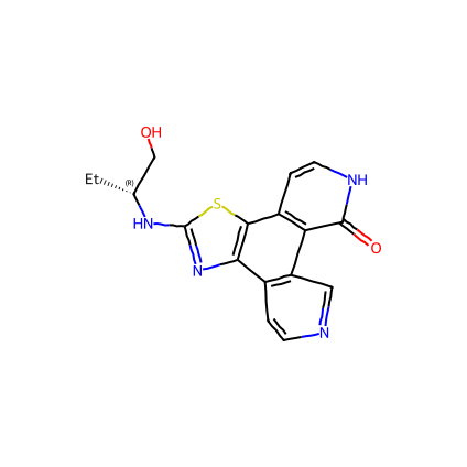 CC[C@H](CO)Nc1nc2c3ccncc3c3c(=O)[nH]ccc3c2s1